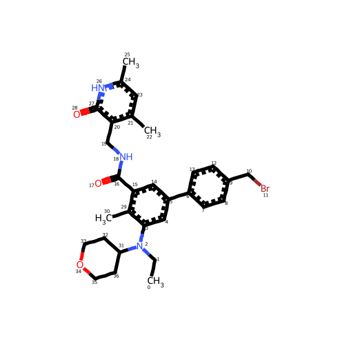 CCN(c1cc(-c2ccc(CBr)cc2)cc(C(=O)NCc2c(C)cc(C)[nH]c2=O)c1C)C1CCOCC1